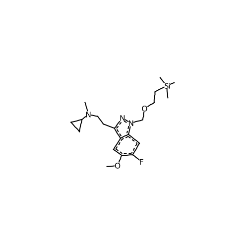 COc1cc2c(CCN(C)C3CC3)nn(COCC[Si](C)(C)C)c2cc1F